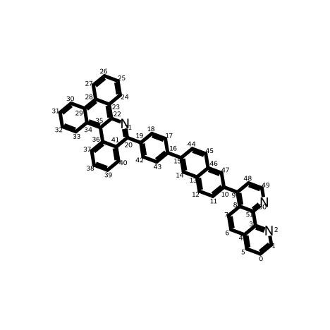 c1cnc2c(c1)ccc1c(-c3ccc4cc(-c5ccc(-c6nc7c8ccccc8c8ccccc8c7c7ccccc67)cc5)ccc4c3)ccnc12